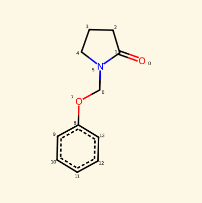 O=C1CCCN1COc1ccccc1